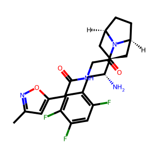 Cc1cc(CC(=O)NCC(=O)N2[C@@H]3CC[C@H]2C[C@@H]([C@H](N)Cc2cc(F)c(F)cc2F)C3)on1